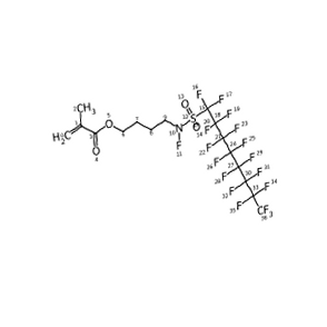 C=C(C)C(=O)OCCCCN(F)S(=O)(=O)C(F)(F)C(F)(F)C(F)(F)C(F)(F)C(F)(F)C(F)(F)C(F)(F)C(F)(F)F